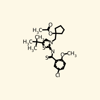 COc1ccc(Cl)cc1C(=S)/N=c1\sc(C(C)(C)C)cn1CC1(OC(C)=O)CCCC1